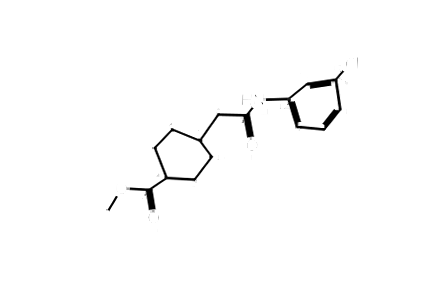 COC(=O)C1CCC(CC(=O)Nc2cccc(Cl)c2)CC1